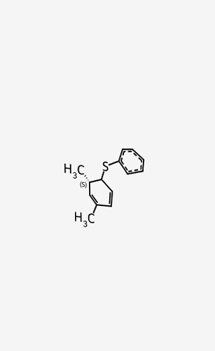 CC1=C[C@H](C)C(Sc2ccccc2)C=C1